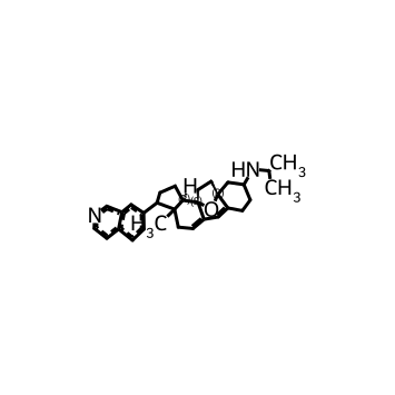 CC(C)NC1CCC2=CC3=CCC4(C)C(c5ccc6ccncc6c5)CC[C@H]4[C@@]34CC[C@]2(C1)O4